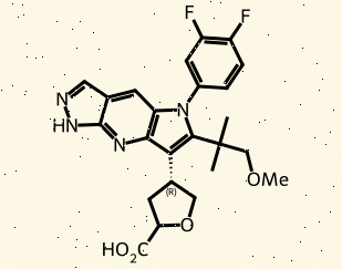 COCC(C)(C)c1c([C@@H]2COC(C(=O)O)C2)c2nc3[nH]ncc3cc2n1-c1ccc(F)c(F)c1